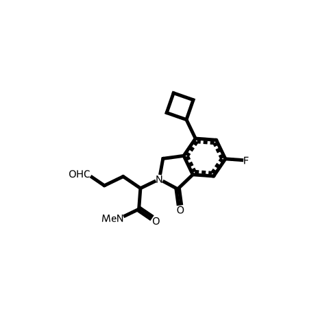 CNC(=O)C(CCC=O)N1Cc2c(cc(F)cc2C2CCC2)C1=O